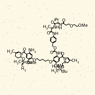 COCCOCCC(=O)N[C@H](C(=O)N[C@@H](C)C(=O)Nc1ccc(COC(=O)Nc2cc(OCCCCCOc3cc(N)c(C(=O)N4C=C(C)CCC4O[Si](C)(C)C(C)(C)C)cc3OC)c(OC)cc2C(=O)N2C=C(C)C[C@H]2CO[Si](C)(C)C(C)(C)C)cc1)C(C)C